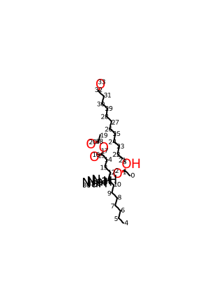 CC(=O)O.CCCCCCCCCCCC(=O)OC(C)=O.CCCCCCCCCCCC=O.[NaH].[NaH].[NaH]